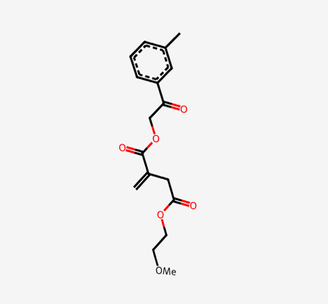 C=C(CC(=O)OCCOC)C(=O)OCC(=O)c1cccc(C)c1